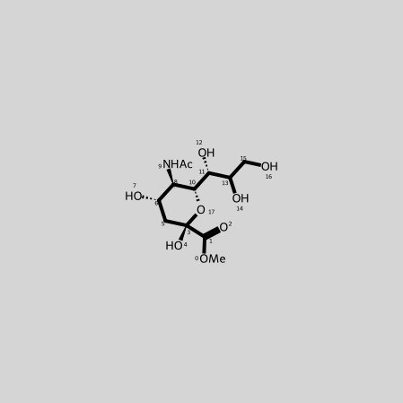 COC(=O)[C@]1(O)C[C@H](O)[C@@H](NC(C)=O)[C@H]([C@H](O)C(O)CO)O1